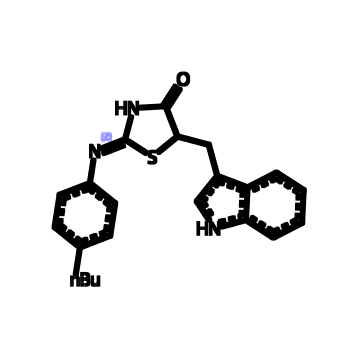 CCCCc1ccc(/N=C2/NC(=O)C(Cc3c[nH]c4ccccc34)S2)cc1